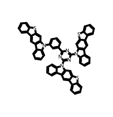 c1cc(-c2nc(-n3c4ccccc4c4cc5c(cc43)sc3ccccc35)nc(-n3c4ccccc4c4cc5c(cc43)sc3ccccc35)n2)cc(-n2c3ccccc3c3cc4c(cc32)sc2ccccc24)c1